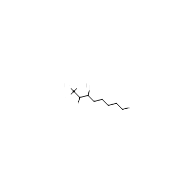 OC(O)(O)C(F)C(F)CCCCCF